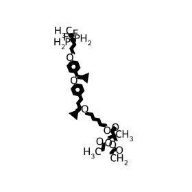 C=CC(=O)OCC(C)(COC(=O)CC)C(=O)OCCCCCCOC(CCc1ccc(OC(=C2CC2)c2ccc(OCCCC(P)(P)C(C)(F)F)cc2)cc1)=C1CC1